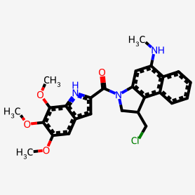 CNc1cc2c(c3ccccc13)C(CCl)CN2C(=O)c1cc2cc(OC)c(OC)c(OC)c2[nH]1